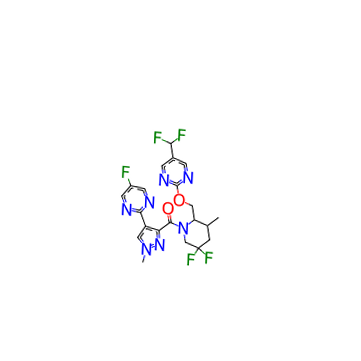 CC1CC(F)(F)CN(C(=O)c2nn(C)cc2-c2ncc(F)cn2)C1COc1ncc(C(F)F)cn1